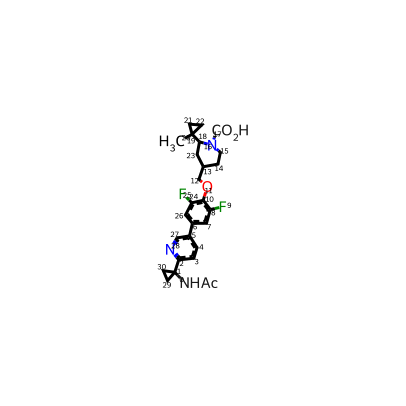 CC(=O)NC1(c2ccc(-c3cc(F)c(OCC4CCN(C(=O)O)C(C5(C)CC5)C4)c(F)c3)cn2)CC1